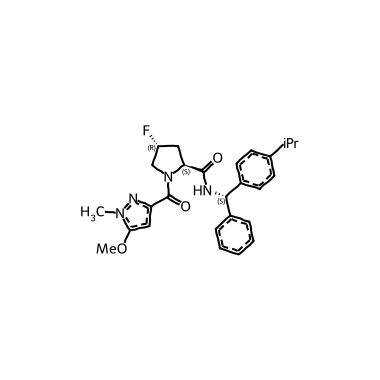 COc1cc(C(=O)N2C[C@H](F)C[C@H]2C(=O)N[C@@H](c2ccccc2)c2ccc(C(C)C)cc2)nn1C